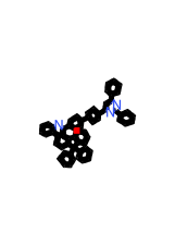 c1ccc(-c2cc(-c3ccc(-c4ccc(-c5nc6ccccc6c6ccc7c(c56)-c5ccccc5C7(c5ccccc5)c5ccccc5)cc4)cc3)nc(-c3ccccc3)n2)cc1